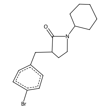 O=C1C(Cc2ccc(Br)cc2)CCN1C1CCCCC1